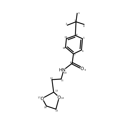 CC(C)(C)c1ccc(C(=O)NCCC2OCCO2)cc1